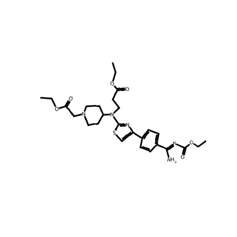 CCOC(=O)CCN(c1nc(-c2ccc(C(N)=NC(=O)OCC)cc2)cs1)C1CCN(CC(=O)OCC)CC1